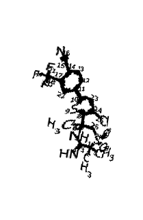 CC1(C)C(=N)N[C@](C)(c2sc(-c3ccc(C#N)c(C(F)(F)F)c3)cc2Cl)CS1(=O)=O